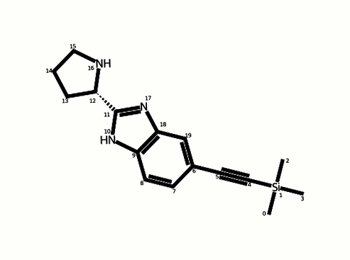 C[Si](C)(C)C#Cc1ccc2[nH]c([C@@H]3CCCN3)nc2c1